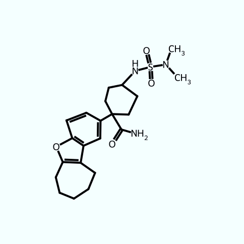 CN(C)S(=O)(=O)NC1CCC(C(N)=O)(c2ccc3oc4c(c3c2)CCCCC4)CC1